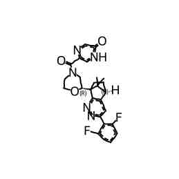 CC1(C)[C@H]2CCC1([C@@H]1CN(C(=O)c3c[nH]c(=O)cn3)CCO1)c1nnc(-c3c(F)cccc3F)cc12